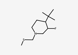 CSCN1CCC(C(C)(C)C)C(F)C1